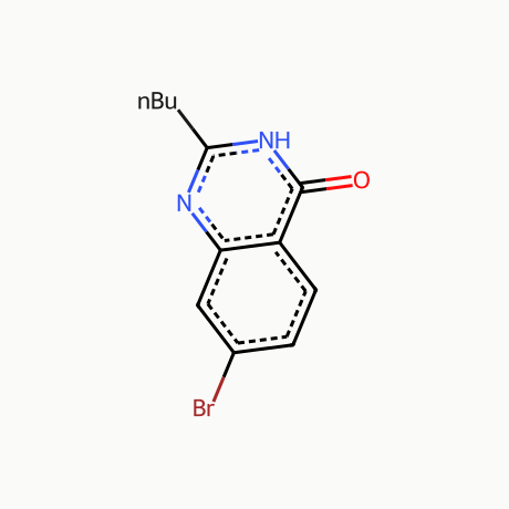 CCCCc1nc2cc(Br)ccc2c(=O)[nH]1